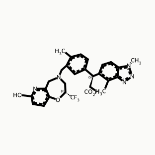 Cc1ccc([C@H](CC(=O)O)c2ccc3c(nnn3C)c2C)cc1CN1Cc2nc(O)ccc2O[C@@H](C(F)(F)F)C1